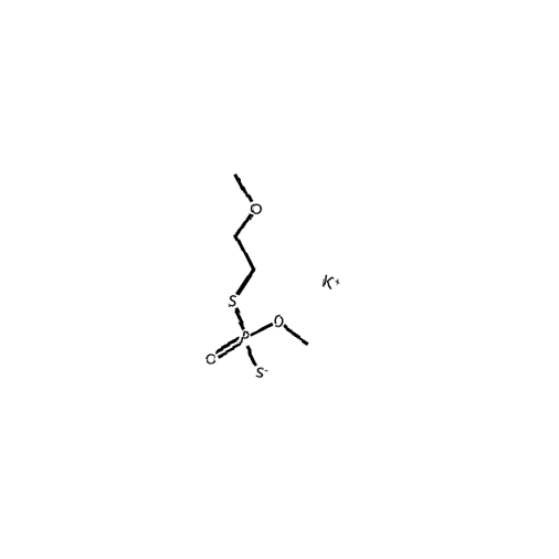 COCCSP(=O)([S-])OC.[K+]